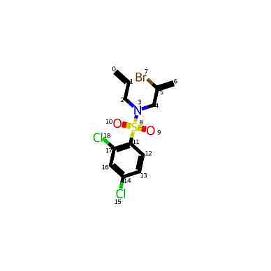 C=CCN(CC(=C)Br)S(=O)(=O)c1ccc(Cl)cc1Cl